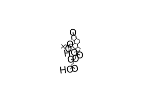 CC(C)(C)CC(=O)O[C@@H]1C[C@@]2(C)C(CC[C@]2(O)C(=O)COC(=O)CCC(=O)O)C2CCC3=CC(=O)C=C[C@]3(C)C21